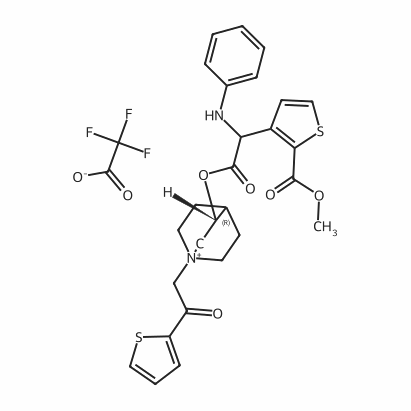 COC(=O)c1sccc1C(Nc1ccccc1)C(=O)O[C@H]1C[N+]2(CC(=O)c3cccs3)CCC1CC2.O=C([O-])C(F)(F)F